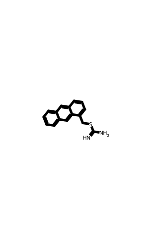 N=C(N)SCc1cccc2cc3ccccc3cc12